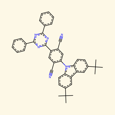 CC(C)(C)c1ccc2c(c1)c1cc(C(C)(C)C)ccc1n2-c1cc(C#N)c(-c2nc(-c3ccccc3)nc(-c3ccccc3)n2)cc1C#N